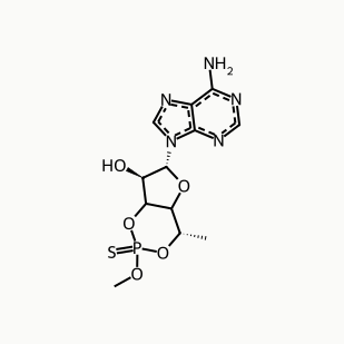 COP1(=S)OC2C(O[C@@H](n3cnc4c(N)ncnc43)[C@@H]2O)[C@H](C)O1